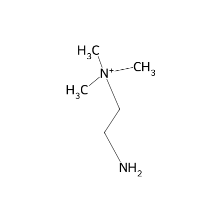 C[N+](C)(C)CCN